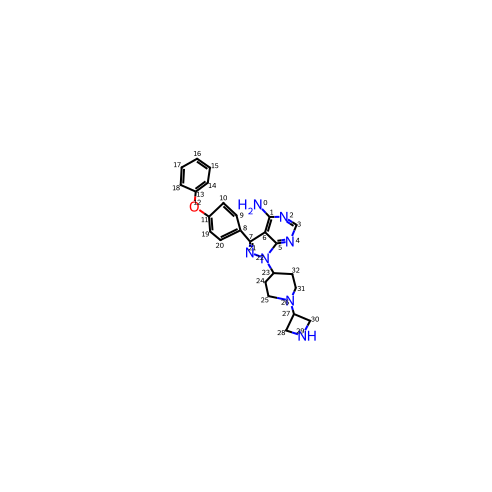 Nc1ncnc2c1c(-c1ccc(Oc3ccccc3)cc1)nn2C1CCN(C2CNC2)CC1